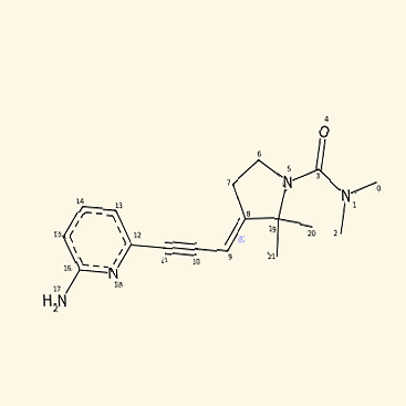 CN(C)C(=O)N1CC/C(=C\C#Cc2cccc(N)n2)C1(C)C